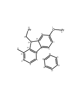 CCCOc1ccc2c3ccnc(C)c3n(CC(C)C)c2c1.c1ccccc1